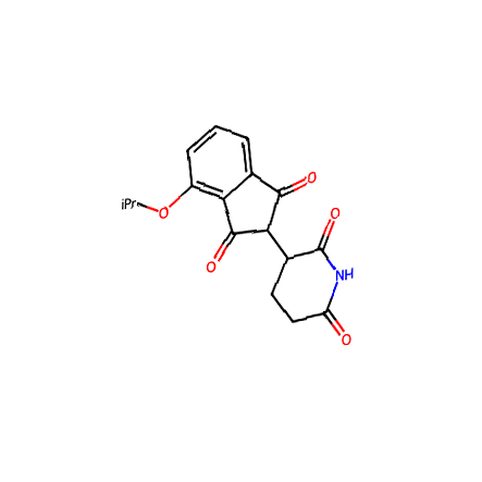 CC(C)Oc1cccc2c1C(=O)C(C1CCC(=O)NC1=O)C2=O